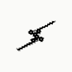 CCCCCCCCCCCCc1ccc2c(c1)oc1c(-c3ccccc3)cc3c(cc(-c4ccccc4)c4oc5cc(CCCCCCCCCCCC)ccc5c43)c12